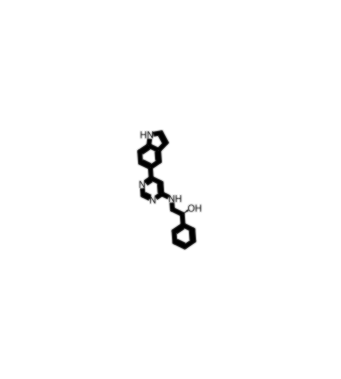 O[C@@H](CNc1cc(-c2ccc3[nH]ccc3c2)ncn1)c1ccccc1